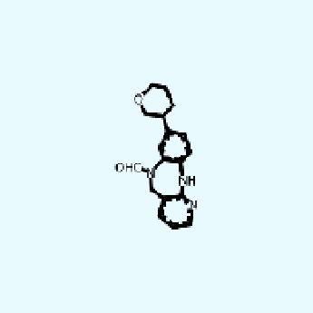 O=CN1Cc2cccnc2Nc2ccc(C3CCCOC3)cc21